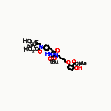 CCCC(CN(C(=O)C(=O)O)c1ccc(C[C@H](NC(=O)OC(C)(C)C)C(=O)NCCCCOc2cccc(O)c2C(=O)OC)cc1)C(=O)O